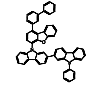 c1ccc(-c2cccc(-c3ccc(-n4c5ccccc5c5ccc(-c6ccc7c8ccccc8n(-c8ccccc8)c7c6)cc54)c4oc5ccccc5c34)c2)cc1